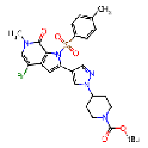 Cc1ccc(S(=O)(=O)n2c(-c3cnn(C4CCN(C(=O)OC(C)(C)C)CC4)c3)cc3c(Br)cn(C)c(=O)c32)cc1